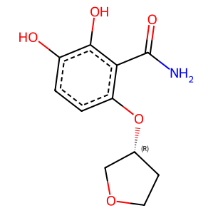 NC(=O)c1c(O[C@@H]2CCOC2)ccc(O)c1O